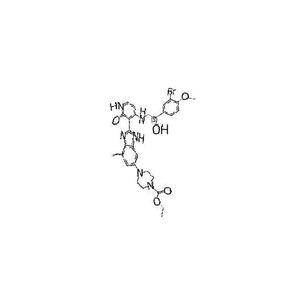 CCOC(=O)N1CCN(c2cc(C)c3nc(-c4c(NC[C@@H](O)c5ccc(OC)c(Br)c5)cc[nH]c4=O)[nH]c3c2)CC1